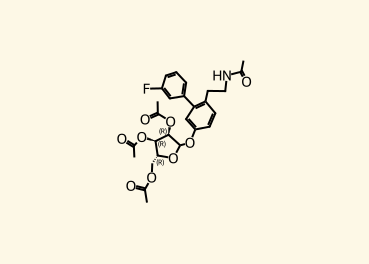 CC(=O)NCCc1ccc(OC2O[C@H](COC(C)=O)[C@@H](OC(C)=O)[C@H]2OC(C)=O)cc1-c1cccc(F)c1